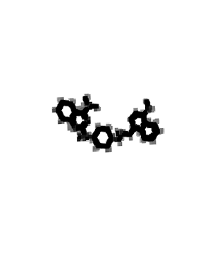 COc1ccc(CNC[C@H]2CC[C@@H](Nc3nc4c(c(N(C)C)n3)CCCC4)CC2)c2ccccc12